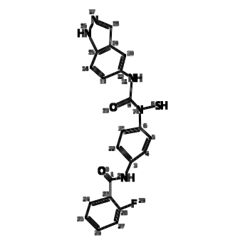 O=C(Nc1ccc(N(S)C(=O)Nc2ccc3[nH]ncc3c2)cc1)c1ccccc1F